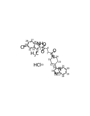 Cc1c(S(=O)(=O)CCC(=O)N2CCC(c3cnc4ccccn34)CC2)[nH]c2ccc(Cl)cc12.Cl